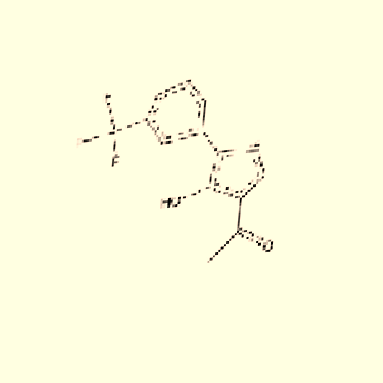 CC(=O)c1csc(-c2cccc(C(F)(F)F)c2)c1O